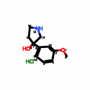 COc1cccc(C2(O)CCNC2)c1.Cl